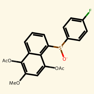 COc1cc(OC(C)=O)c2c([S+]([O-])c3ccc(F)cc3)cccc2c1OC(C)=O